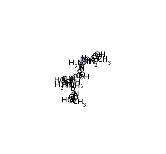 Cc1ccc2nc(-c3ccc(/N=N\c4c(N)ccc(N=Nc5ccc(-c6ccc(N=Nc7cc(S(=O)(=O)O)c(N)c(NNc8ccc(-c9nc%10ccc(C)c(S(=O)(=O)O)c%10s9)cc8)c7N)cc6)c(S(=O)(=O)O)c5)c4N)cc3)sc2c1S(=O)(=O)O